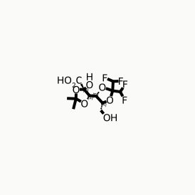 CC1(C)O[C@@H]([C@@H]2OC(C(F)F)(C(F)F)O[C@@H]2CO)[C@](O)(C(=O)O)O1